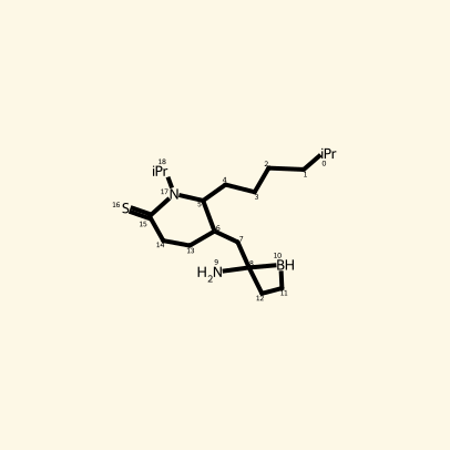 CC(C)CCCCC1C(CC2(N)BCC2)CCC(=S)N1C(C)C